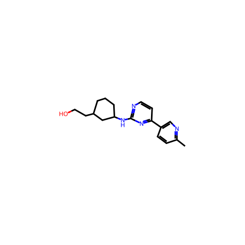 Cc1ccc(-c2ccnc(NC3CCCC(CCO)C3)n2)cn1